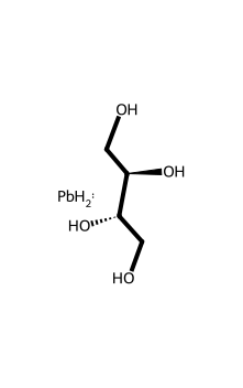 OC[C@@H](O)[C@@H](O)CO.[PbH2]